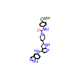 COc1ccc(NC(=O)N2CC=C(C3Cc4c(Nc5ccc6[nH]ncc6c5)ccnc4N3)CC2)cc1